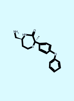 C[C@]1(c2ccc(Oc3ccccc3)cc2)SCC[C@@H](CN)NC1=O